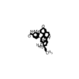 CC#C[C@]1(O)CC[C@H]2[C@@H]3CCC4=CC(=O)CCC4=C3[C@@H](c3ccc(C(=O)NC)cc3)C[C@@]21C